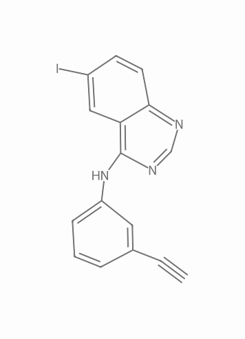 C#Cc1cccc(Nc2ncnc3ccc(I)cc23)c1